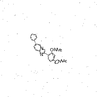 COc1ccc(-c2cn3cc(-c4c[c]ccc4)ccc3n2)c(OC)c1